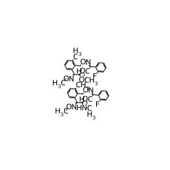 CNC(=O)/C(=N/OC)c1cccc(C)c1CO/N=C(\C)c1ccccc1F.CO/N=C(/C(=O)OC)c1cccc(C)c1CO/N=C(\C)c1ccccc1F